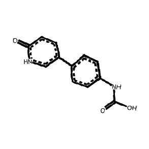 O=C(O)Nc1ccc(-c2ccc(=O)[nH]c2)cc1